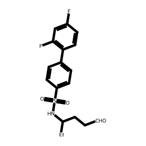 CCC(CCC=O)NS(=O)(=O)c1ccc(-c2ccc(F)cc2F)cc1